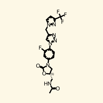 CC(=O)NC[C@H]1CN(c2ccc(-n3cc(Cn4ccc(C(F)(F)F)n4)nn3)c(F)c2)C(=O)O1